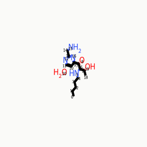 CCCCCNC(C(=O)c1ccnc(CN)n1)C(C)O.O